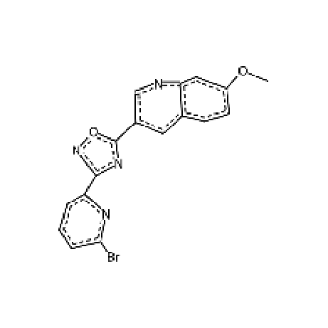 COc1ccc2cc(-c3nc(-c4cccc(Br)n4)no3)cnc2c1